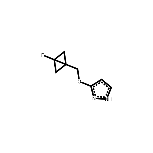 FC12CC1(COc1cc[nH]n1)C2